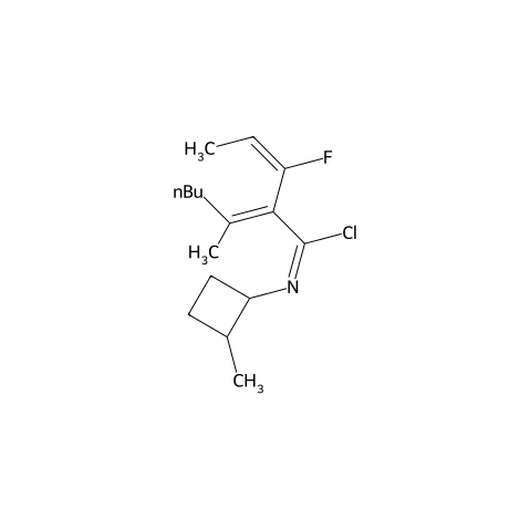 C\C=C(F)/C(C(/Cl)=N\C1CCC1C)=C(/C)CCCC